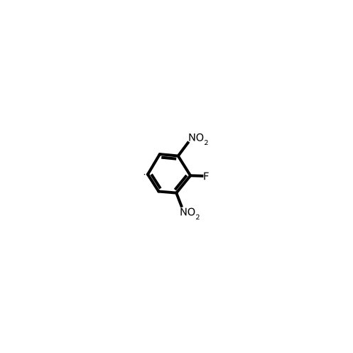 O=[N+]([O-])c1c[c]cc([N+](=O)[O-])c1F